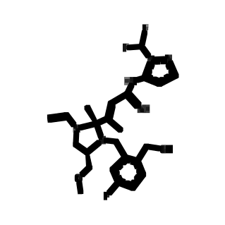 C=CN1C[C@H](COC)N(Cc2cc(F)ccc2CO)[C@@]1(C)/C(C)=C/C(=N)Nc1ccnn1C(F)F